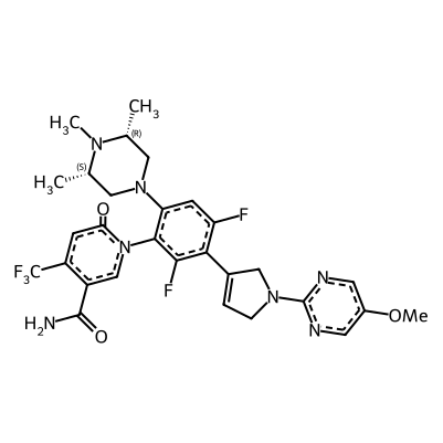 COc1cnc(N2CC=C(c3c(F)cc(N4C[C@@H](C)N(C)[C@@H](C)C4)c(-n4cc(C(N)=O)c(C(F)(F)F)cc4=O)c3F)C2)nc1